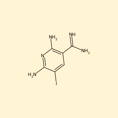 N=C(N)c1cc(I)c(N)nc1N